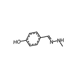 CN/N=C/c1ccc(O)cc1